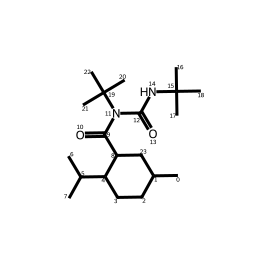 CC1CCC(C(C)C)C(C(=O)N(C(=O)NC(C)(C)C)C(C)(C)C)C1